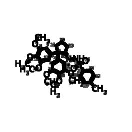 COc1cc(C2(c3cc(OC)c(OC)c(OC)c3)CCCC2=NNS(=O)(=O)c2ccc(C)cc2)cc(OC)c1OC